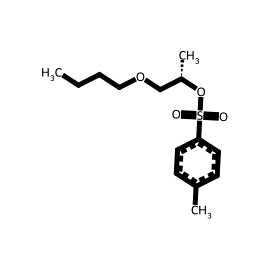 CCCCOC[C@H](C)OS(=O)(=O)c1ccc(C)cc1